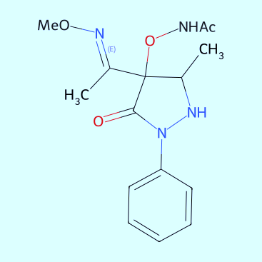 CO/N=C(\C)C1(ONC(C)=O)C(=O)N(c2ccccc2)NC1C